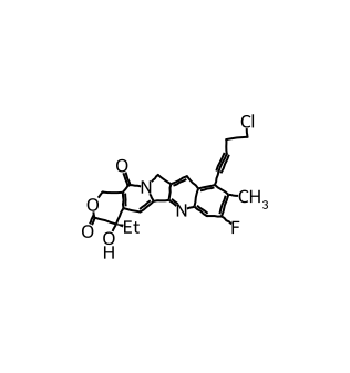 CC[C@@]1(O)C(=O)OCc2c1cc1n(c2=O)Cc2cc3c(C#CCCCl)c(C)c(F)cc3nc2-1